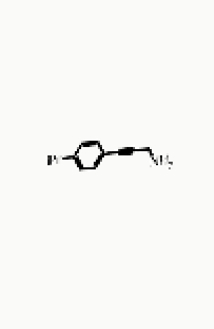 CC(C)c1ccc(C#CCN)cc1